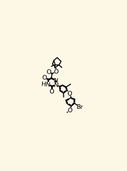 COc1ccc(Oc2c(C)cc(-n3nc(C(=O)OC4CC5CCC4(C)C5(C)C)c(=O)[nH]c3=O)cc2C)cc1Br